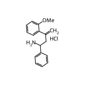 C=C(CC(N)c1ccccc1)c1ccccc1OC.Cl